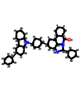 O=c1c2ccccc2c2cc(-c3ccc(-n4c5ccccc5c5cc(-c6ccccc6)ccc54)cc3)cc3nc(-c4ccccc4)n1c32